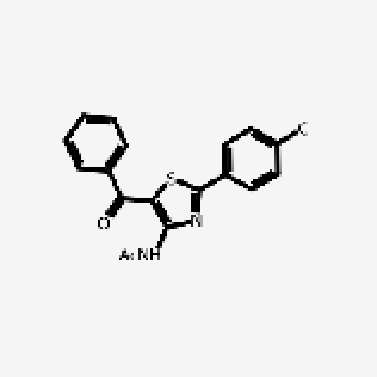 [CH2]C(=O)Nc1nc(-c2ccc(Cl)cc2)sc1C(=O)c1ccccc1